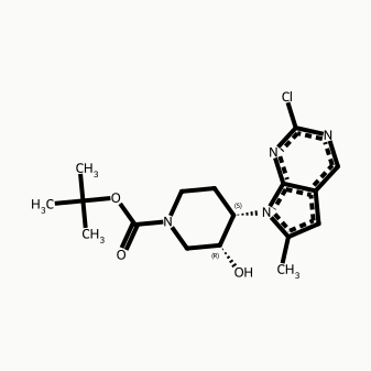 Cc1cc2cnc(Cl)nc2n1[C@H]1CCN(C(=O)OC(C)(C)C)C[C@H]1O